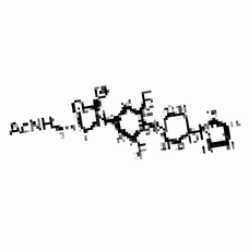 CC(=O)NC[C@H]1CN(c2cc(F)c(N3CCC(n4cccc4)CC3)c(F)c2)C(=O)O1